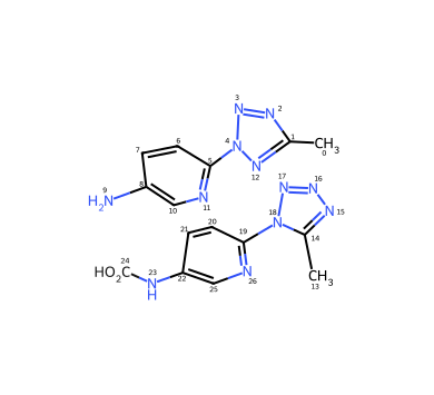 Cc1nnn(-c2ccc(N)cn2)n1.Cc1nnnn1-c1ccc(NC(=O)O)cn1